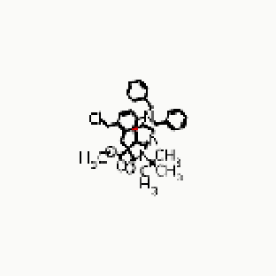 COC(=O)C1(Cc2cc(N(Cc3ccccc3)Cc3ccccc3)ccc2CCl)C(=O)N(C(C)(C)C)c2ncccc21